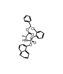 C[C@H](NP(=O)(Oc1ccccc1Cl)Oc1cccc2ccccc12)C(=O)OCc1ccccc1